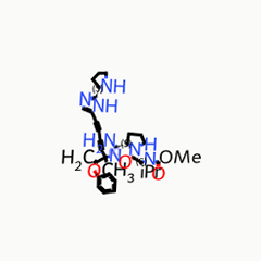 C=C(Oc1ccccc1)C(C)(C#CC#Cc1cnc([C@@H]2CCCN2)[nH]1)/N=C(\N)[C@@H]1CCCN1C(=O)[C@@H](NC(=O)OC)C(C)C